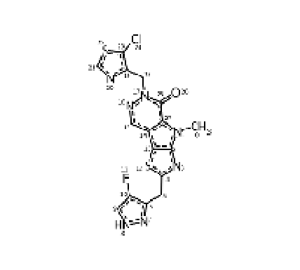 Cn1c2nc(Cc3n[nH]cc3F)sc2c2cnn(Cc3ncsc3Cl)c(=O)c21